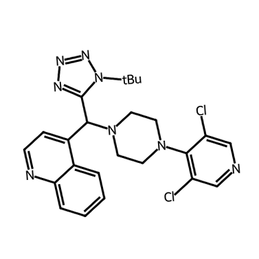 CC(C)(C)n1nnnc1C(c1ccnc2ccccc12)N1CCN(c2c(Cl)cncc2Cl)CC1